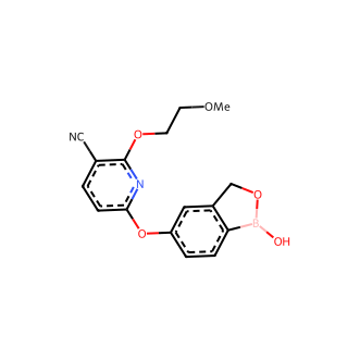 COCCOc1nc(Oc2ccc3c(c2)COB3O)ccc1C#N